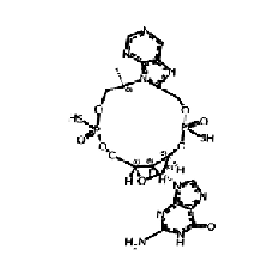 C[C@H]1COP(=O)(S)OC[C@H]2O[C@@H](n3cnc4c(=O)[nH]c(N)nc43)[C@H](OP(=O)(S)OCc3nc4cncnc4n31)[C@@H]2F